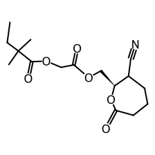 CCC(C)(C)C(=O)OCC(=O)OC[C@@H]1OC(=O)CCCC1C#N